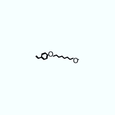 C=Cc1ccc(OCCCCCCCCOC)cc1